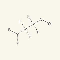 [O]OC(F)(F)C(F)(F)[C](F)F